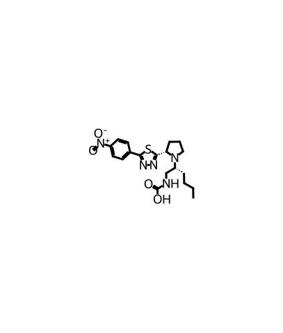 CCCC[C@H](CNC(=O)O)N1CCC[C@H]1c1nnc(-c2ccc([N+](=O)[O-])cc2)s1